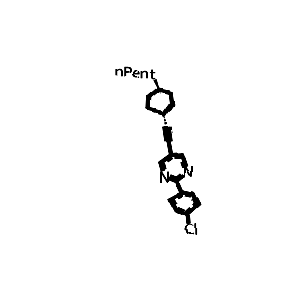 CCCCC[C@H]1CC[C@H](C#Cc2cnc(-c3ccc(Cl)cc3)nc2)CC1